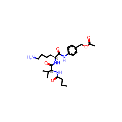 CCCC(=O)N[C@H](C(=O)N[C@@H](CCCCN)C(=O)Nc1ccc(COC(C)=O)cc1)C(C)C